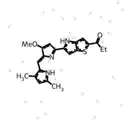 CCC(=O)c1cc2[nH]c(C3=N/C(=C\c4[nH]c(C)cc4C)C(OC)=C3)cc2s1